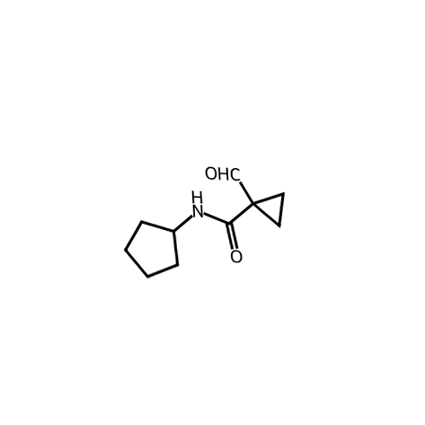 O=CC1(C(=O)NC2CCCC2)CC1